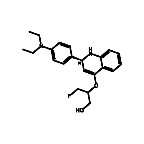 CCN(CC)c1ccc([C@@H]2C=C(OC(CO)CF)c3ccccc3N2)cc1